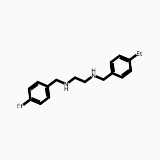 CCc1ccc(CNCCNCc2ccc(CC)cc2)cc1